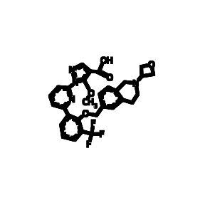 COc1c(C(=O)O)cnn1-c1cccc(-c2cccc(C(F)(F)F)c2OCc2ccc3c(c2)CCN(C2COC2)C3)n1